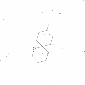 CC1CCC2(CC1)OCCCS2